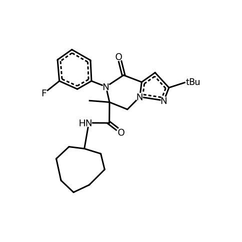 CC(C)(C)c1cc2n(n1)CC(C)(C(=O)NC1CCCCCCC1)N(c1cccc(F)c1)C2=O